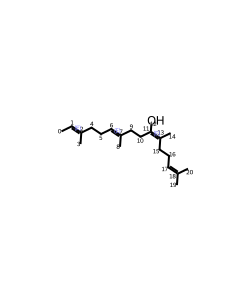 C/C=C(\C)CC/C=C(\C)CC/C(O)=C(/C)CCC=C(C)C